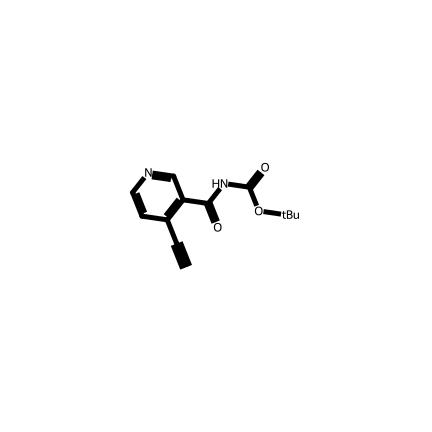 C#Cc1ccncc1C(=O)NC(=O)OC(C)(C)C